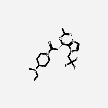 CCN(C)C1CCN(C(=O)C[C@H](OC(C)=O)c2nccn2CC(F)(F)F)CC1